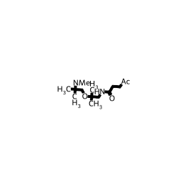 CNC(C)(C)COC(C)(C)CNC(=O)CCC(C)=O